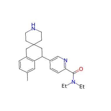 CCN(CC)C(=O)c1ccc(C2CC3(CCNCC3)Cc3ccc(C)cc32)cn1